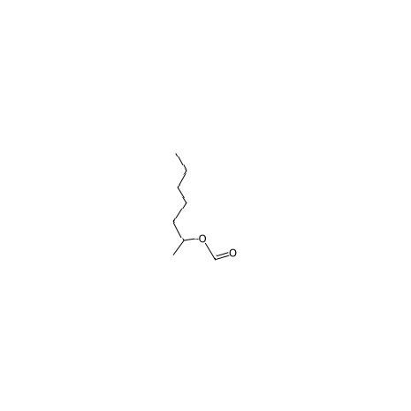 CCCCCC(C)OC=O